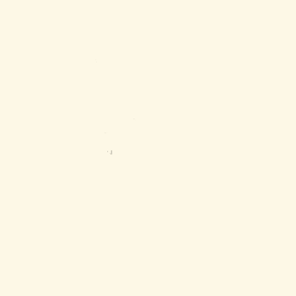 CCC(=O)OCC[C@H](COc1ccc(Cc2ccccc2)cc1)C(C)=N